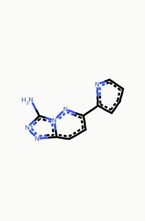 Nc1nnc2ccc(-c3ccccn3)nn12